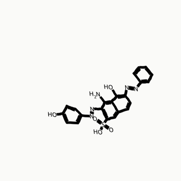 Nc1c(N=Nc2ccc(O)cc2)c(S(=O)(=O)O)cc2ccc(N=Nc3ccccc3)c(O)c12